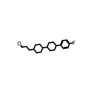 O=CCCC1CCC(C2CCC(c3ccc(F)cc3)CC2)CC1